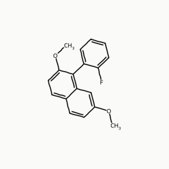 COc1ccc2ccc(OC)c(-c3ccccc3F)c2c1